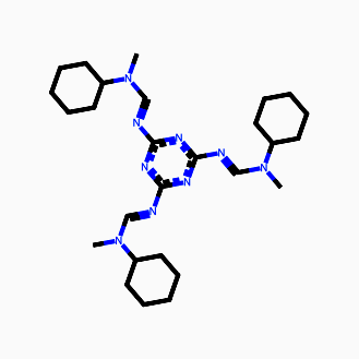 CN(C=Nc1nc(N=CN(C)C2CCCCC2)nc(N=CN(C)C2CCCCC2)n1)C1CCCCC1